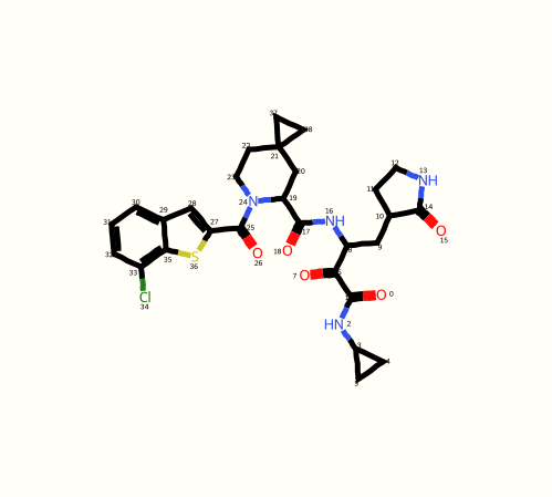 O=C(NC1CC1)C(=O)C(CC1CCNC1=O)NC(=O)C1CC2(CCN1C(=O)c1cc3cccc(Cl)c3s1)CC2